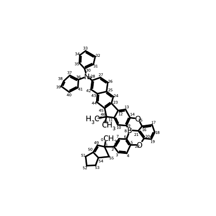 CC1(c2ccc3c(c2)B2c4cc5c(cc4Oc4cccc(c42)O3)-c2cc3ccc(N(c4ccccc4)c4ccccc4)cc3cc2C5(C)C)C=C2CCCC2C1